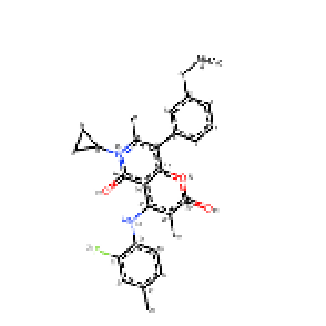 CC(=O)NCc1cccc(-c2c(C)n(C3CC3)c(=O)c3c(Nc4ccc(C)cc4F)c(C)c(=O)oc23)c1